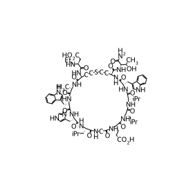 CCN[C@@H](CC(=O)O)C(=O)N[C@H]1CCSCC[C@@H](C(=O)N[C@H](C(N)=O)[C@@H](C)O)NC(=O)[C@H](Cc2c[nH]c3ccccc23)NC(=O)[C@H](C(C)C)NC(=O)[C@H](CC(C)C)NC(=O)[C@H](CCC(=O)O)NC(=O)CNC(=O)[C@H](CC(C)C)NC(=O)[C@H](Cc2c[nH]cn2)NC(=O)[C@H](Cc2c[nH]c3ccccc23)NC(=O)[C@H](C)NC1=O